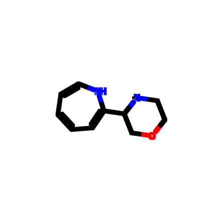 C1=CC=C(C2COCC[N]2)NC=C1